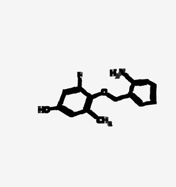 Cc1cc(O)cc(F)c1OCc1ccccc1N